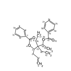 C=CCC(OC(=O)c1ccccc1)C(CC)(CC)C(C)OC(=O)c1ccccc1